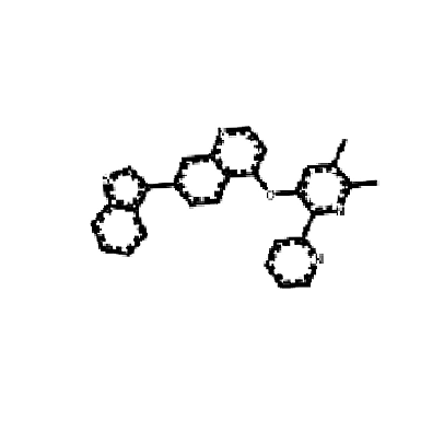 Cc1cc(Oc2ccnc3cc(-c4csc5ccccc45)ccc23)c(-c2ccccn2)nc1C